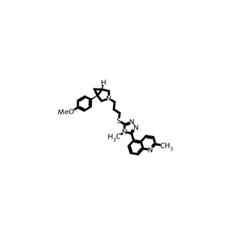 COc1ccc([C@@]23C[C@@H]2CN(CCCSc2nnc(-c4cccc5nc(C)ccc45)n2C)C3)cc1